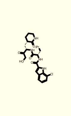 CC(C)C[C@H](NC(=O)c1cc2cccc(Cl)c2[nH]1)C(=O)N[C@@H](C[C@@H]1CCCNC1=O)C(=O)CO